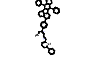 N=C/C(=C\C=C\C1=CC=CC(c2ccccc2)N1)c1ccc(-c2ccc3c4c(cccc24)-c2c-3c(-c3ccccc3)c3ccccc3c2-c2ccccc2)cc1